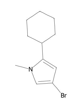 Cn1cc(Br)cc1C1CCCCC1